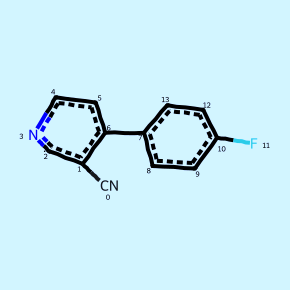 N#Cc1[c]nccc1-c1ccc(F)cc1